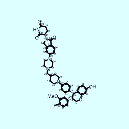 COc1cc([C@H]2COc3cc(O)ccc3[C@H]2c2ccc(N3CCC(CN4CCN(c5ccc6c(c5)CN([C@H]5CCC(=O)NC5=O)C6=O)CC4)CC3)cc2)ccc1F